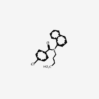 O=C(O)CCCN(C(=O)c1ccc(Cl)cc1)c1cccc2ccccc12